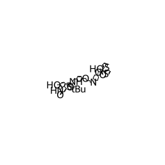 CN(CCCOc1ccc(CNC[C@H](O[Si](C)(C)C(C)(C)C)c2ccc(O)c3[nH]c(=O)ccc23)cc1)[C@H]1CC[C@H](OC(=O)C(O)(c2cccs2)c2cccs2)CC1